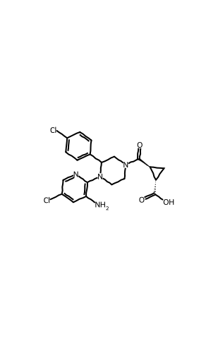 Nc1cc(Cl)cnc1N1CCN(C(=O)[C@H]2C[C@@H]2C(=O)O)CC1c1ccc(Cl)cc1